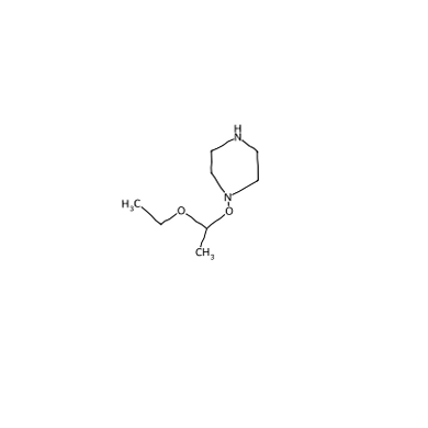 CCOC(C)ON1CCNCC1